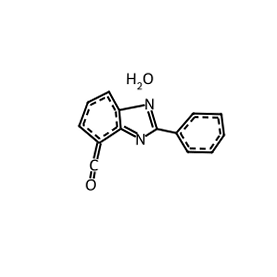 O.O=C=c1cccc2c1=NC(c1ccccc1)=N2